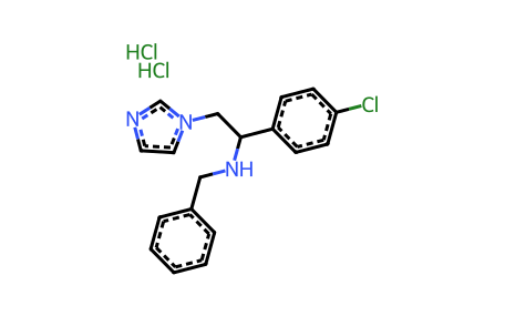 Cl.Cl.Clc1ccc(C(Cn2ccnc2)NCc2ccccc2)cc1